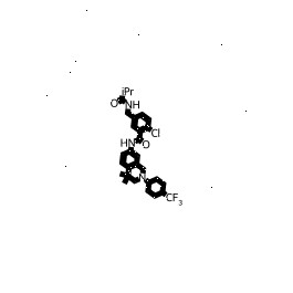 CC(C)C(=O)NCc1ccc(Cl)c(C(=O)Nc2ccc3c(c2)CN(C2CCC(C(F)(F)F)CC2)CC3(C)C)c1